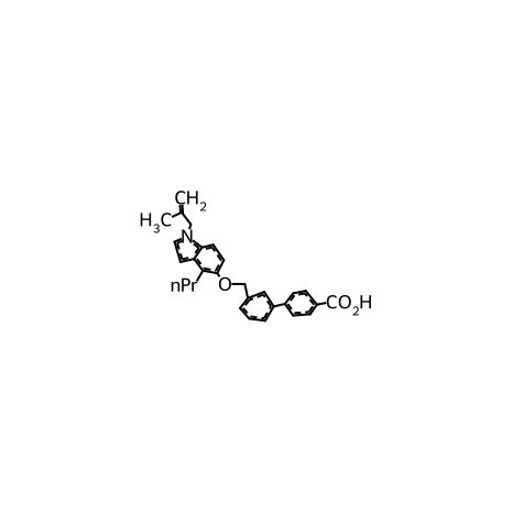 C=C(C)Cn1ccc2c(CCC)c(OCc3cccc(-c4ccc(C(=O)O)cc4)c3)ccc21